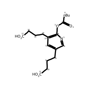 CCCCC(=O)Oc1ncc(CCCC(=O)O)cc1CCCC(=O)O